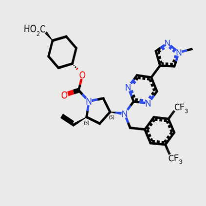 C=C[C@@H]1C[C@H](N(Cc2cc(C(F)(F)F)cc(C(F)(F)F)c2)c2ncc(-c3cnn(C)c3)cn2)CN1C(=O)O[C@H]1CC[C@H](C(=O)O)CC1